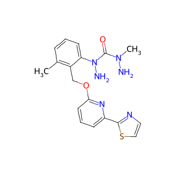 Cc1cccc(N(N)C(=O)N(C)N)c1COc1cccc(-c2nccs2)n1